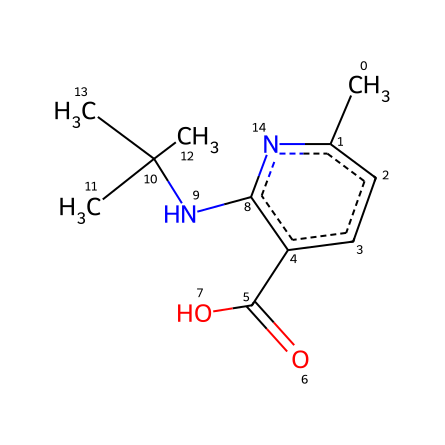 Cc1ccc(C(=O)O)c(NC(C)(C)C)n1